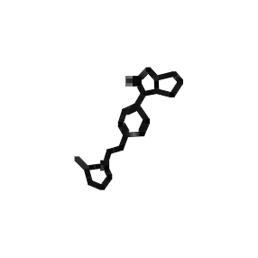 CC1CCCN1CCc1ccc(C2NCC3CCCC32)cc1